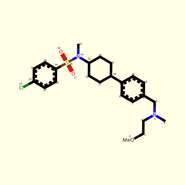 COCCN(C)Cc1ccc(C2CCC(N(C)S(=O)(=O)c3ccc(Cl)cc3)CC2)cc1